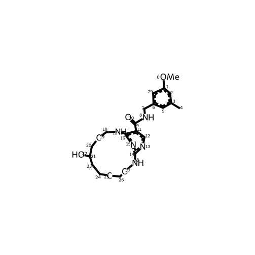 COc1cc(C)cc(CNC(=O)c2cnc3nc2NCCCC(O)CCCCCN3)c1